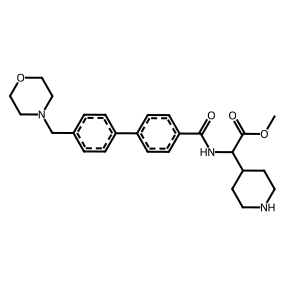 COC(=O)C(NC(=O)c1ccc(-c2ccc(CN3CCOCC3)cc2)cc1)C1CCNCC1